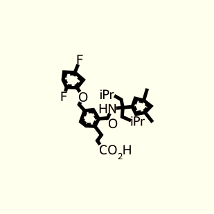 Cc1cc(C)cc(C(CC(C)C)(CC(C)C)NC(=O)c2cc(COc3cc(F)ccc3F)ccc2CCC(=O)O)c1